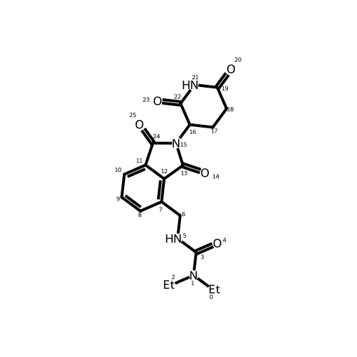 CCN(CC)C(=O)NCc1cccc2c1C(=O)N(C1CCC(=O)NC1=O)C2=O